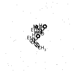 CCC(=O)N[C@H](Cc1ccc(NC(=O)[C@H](Cc2ccccc2F)NC(=O)c2ccnn2CC)c(F)c1)C(=O)N1CCN(C)CC1